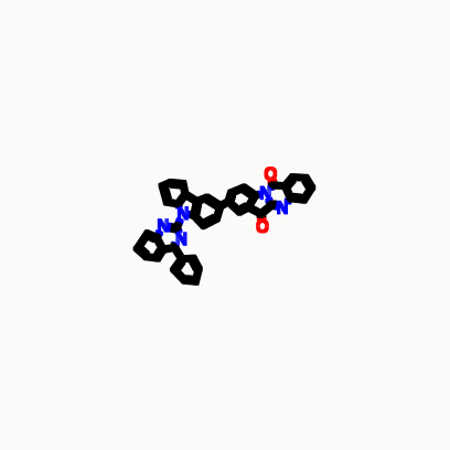 O=C1c2cc(-c3ccc4c(c3)C3C=CC=CC3N4c3nc(-c4ccccc4)c4ccccc4n3)ccc2-n2c1nc1ccccc1c2=O